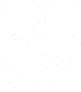 CC1CC2CC1CC2C1CCOC1=O